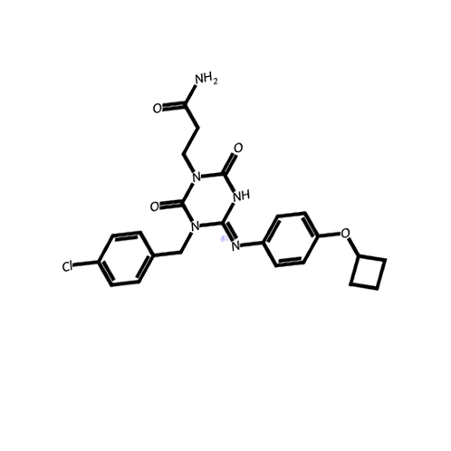 NC(=O)CCn1c(=O)[nH]/c(=N\c2ccc(OC3CCC3)cc2)n(Cc2ccc(Cl)cc2)c1=O